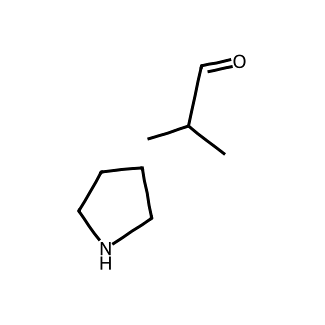 C1CCNC1.CC(C)C=O